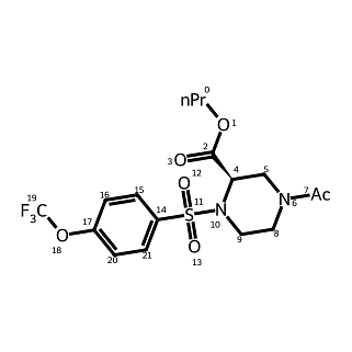 [CH2]CCOC(=O)[C@H]1CN(C(C)=O)CCN1S(=O)(=O)c1ccc(OC(F)(F)F)cc1